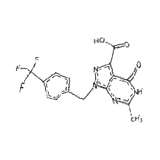 Cc1nc2c(c(C(=O)O)nn2Cc2ccc(C(F)(F)F)cc2)c(=O)[nH]1